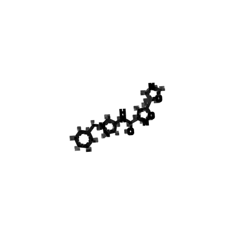 O=C(Nc1cnn(Cc2ccccc2)c1)c1cc(-c2cnco2)on1